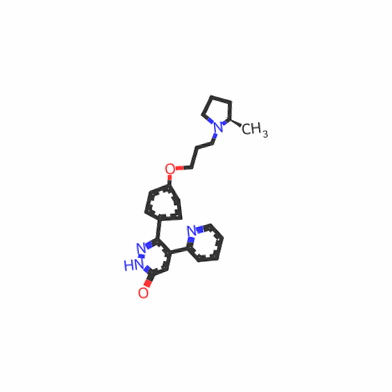 C[C@@H]1CCCN1CCCOc1ccc(-c2n[nH]c(=O)cc2-c2ccccn2)cc1